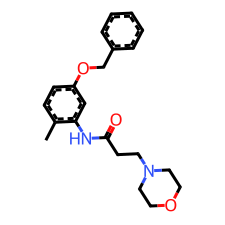 Cc1ccc(OCc2ccccc2)cc1NC(=O)CCN1CCOCC1